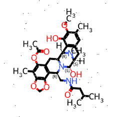 COc1c(C)cc2c(c1O)[C@@H]1C3Cc4c(OC(C)=O)c(C)c5c(c4[C@H](CNC(=O)CC(C)C)N3[C@@H](O)[C@H](C2)N1C)OCO5